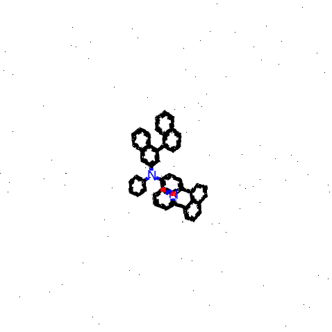 c1ccc(N(c2ccc(-c3cccc4cccc(-c5ccccn5)c34)cc2)c2cc(-c3cccc4ccccc34)c3ccccc3c2)cc1